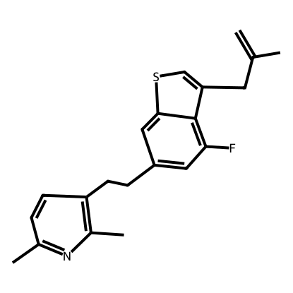 C=C(C)Cc1csc2cc(CCc3ccc(C)nc3C)cc(F)c12